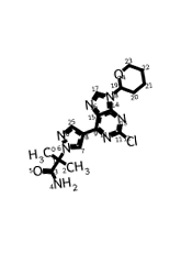 CC(C)(C(N)=O)n1cc(-c2nc(Cl)nc3c2ncn3C2CCCCO2)cn1